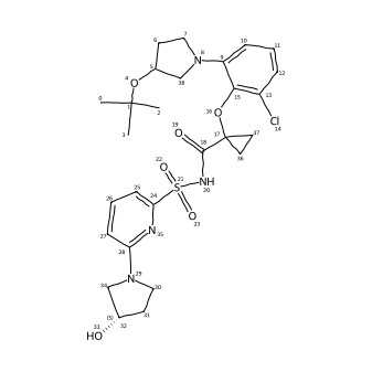 CC(C)(C)OC1CCN(c2cccc(Cl)c2OC2(C(=O)NS(=O)(=O)c3cccc(N4CC[C@H](O)C4)n3)CC2)C1